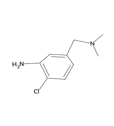 CN(C)Cc1ccc(Cl)c(N)c1